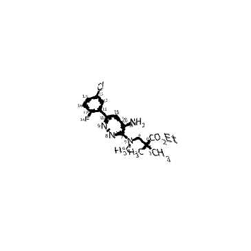 CCOC(=O)C(C)(C)CN(C)c1nnc(-c2cc(Cl)ccc2F)cc1N